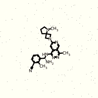 Cc1c(C#N)cccc1[C@@H](N)Nc1nnc(C)c2cnc(N3CC4(CCCN4C)C3)cc12